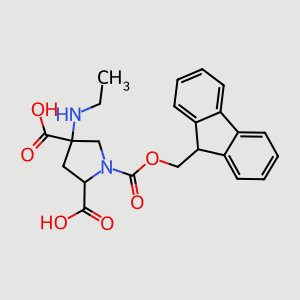 CCNC1(C(=O)O)CC(C(=O)O)N(C(=O)OCC2c3ccccc3-c3ccccc32)C1